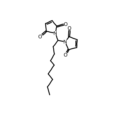 CCCCCCCCC(N1C(=O)C=CC1=O)N1C(=O)C=CC1=O